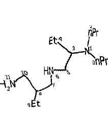 CCCN(CCC)C(CC)CNCC(CC)CN